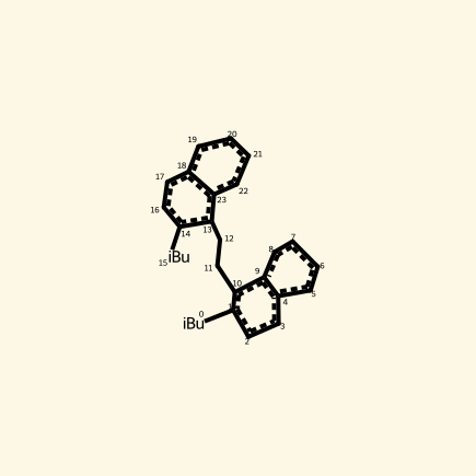 CCC(C)c1ccc2ccccc2c1CCc1c(C(C)CC)ccc2ccccc12